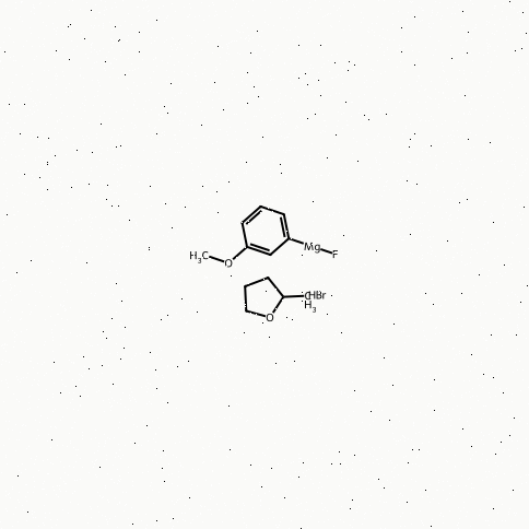 Br.CC1CCCO1.COc1ccc[c]([Mg][F])c1